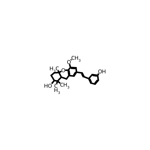 COc1cc(C=Cc2cccc(O)c2)cc2c1OC1(C)CCC(O)C(C)(C)C1C2